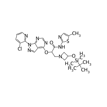 Cc1cnc(NC(=O)C(CN2CC(O[Si](C)(C)C(C)(C)C)C2)Oc2ncnc3c2cnn3-c2ncccc2Cl)s1